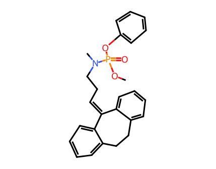 COP(=O)(Oc1ccccc1)N(C)CCC=C1c2ccccc2CCc2ccccc21